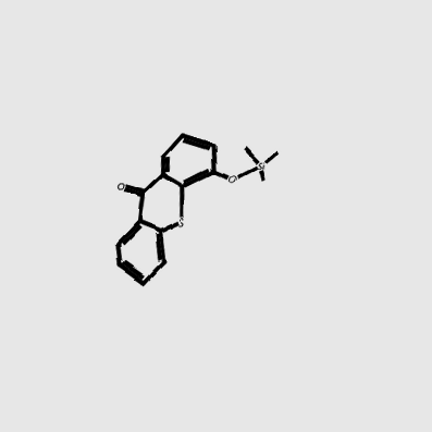 C[Si](C)(C)Oc1cccc2c(=O)c3ccccc3sc12